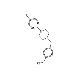 Fc1ccc(N2CCC(Cc3ccc(CCl)cc3)CC2)cc1